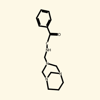 O=C(CNCN1CN2CCCN(C2)C1)c1ccccc1